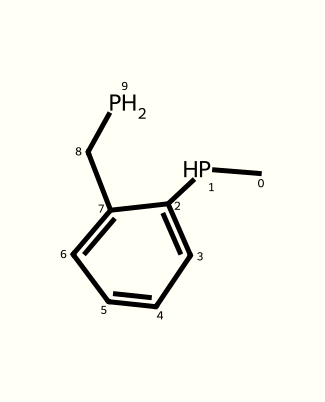 CPc1ccccc1CP